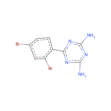 Nc1nc(N)nc(-c2ccc(Br)cc2Br)n1